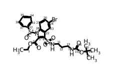 CCOC(=O)c1c(S(=O)(=O)NCCCNC(=O)OC(C)(C)C)c2cc(Br)ccc2n1[S+]([O-])c1ccccc1